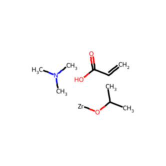 C=CC(=O)O.CC(C)[O][Zr].CN(C)C